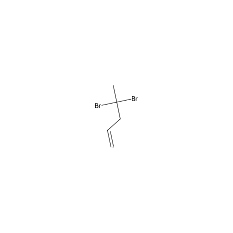 [CH]=CCC(C)(Br)Br